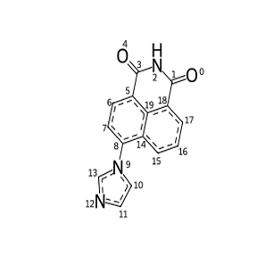 O=C1NC(=O)c2ccc(-n3ccnc3)c3cccc1c23